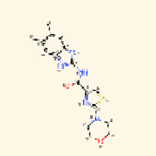 Cc1cc2nc(NC(=O)c3csc(N4CCOCC4)n3)[nH]c2cc1C